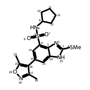 CSc1nc2c(S(=O)(=O)NC3CCCC3)cc(-c3c(C)noc3C)cc2[nH]1